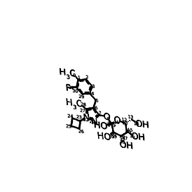 Cc1ccc(Cc2c(O[C@]3(O)O[C@H](CO)[C@@H](O)[C@H](O)[C@H]3O)nn(C3CCC3)c2C)cc1F